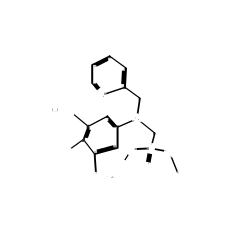 CCOP(=O)(CN(Cc1ccccn1)c1cc(OC)c(O)c(OC)c1)OCC